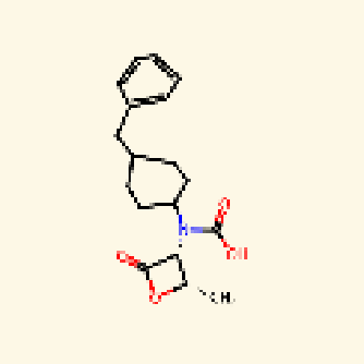 C[C@@H]1OC(=O)[C@@H]1N(C(=O)O)C1CCC(Cc2ccccc2)CC1